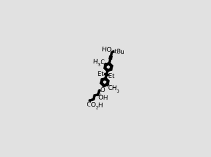 CCC(CC)(c1ccc(C#CC(O)C(C)(C)C)c(C)c1)c1ccc(OC[C@@H](O)CCCC(=O)O)c(C)c1